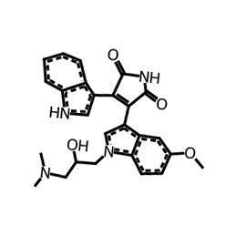 COc1ccc2c(c1)c(C1=C(c3c[nH]c4ccccc34)C(=O)NC1=O)cn2CC(O)CN(C)C